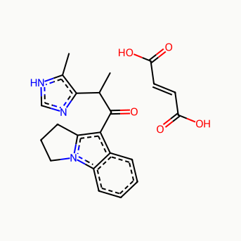 Cc1[nH]cnc1C(C)C(=O)c1c2n(c3ccccc13)CCC2.O=C(O)C=CC(=O)O